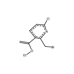 C=C(OCC)c1ccc(Cl)nc1CBr